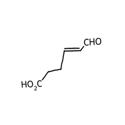 O=CC=CCCC(=O)O